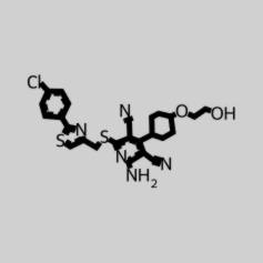 N#Cc1c(N)nc(SCc2csc(-c3ccc(Cl)cc3)n2)c(C#N)c1C1CCC(OCCO)CC1